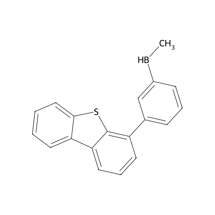 CBc1cccc(-c2cccc3c2sc2ccccc23)c1